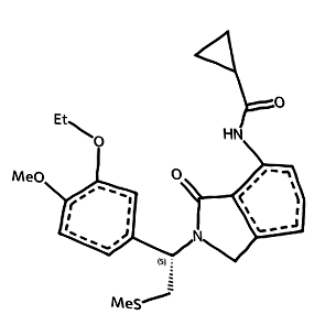 CCOc1cc([C@@H](CSC)N2Cc3cccc(NC(=O)C4CC4)c3C2=O)ccc1OC